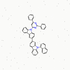 c1ccc(-c2cc(-n3c4ccccc4c4cc(-c5ccc6c7ccccc7n(-c7cccc8ccccc78)c6c5)ccc43)nc(-c3ccccc3)n2)cc1